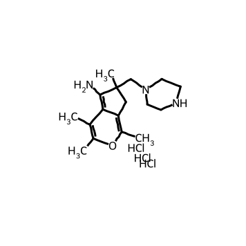 CC1=C(C)C2=C(N)C(C)(CN3CCNCC3)CC2=C(C)O1.Cl.Cl.Cl